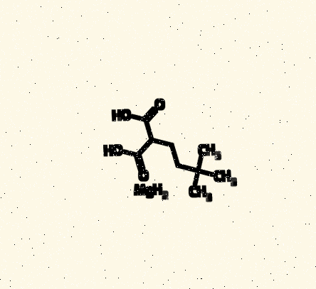 CC(C)(C)CCC(C(=O)O)C(=O)O.[MgH2]